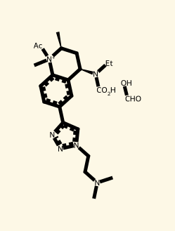 CCN(C(=O)O)[C@@H]1C[C@H](C)[N+](C)(C(C)=O)c2ccc(-c3cn(CCN(C)C)nn3)cc21.O=CO